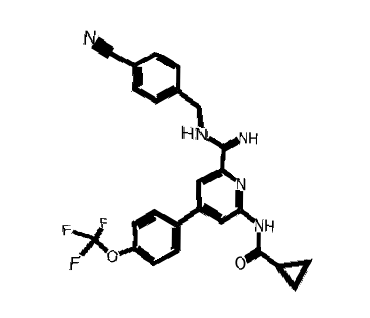 N#Cc1ccc(CNC(=N)c2cc(-c3ccc(OC(F)(F)F)cc3)cc(NC(=O)C3CC3)n2)cc1